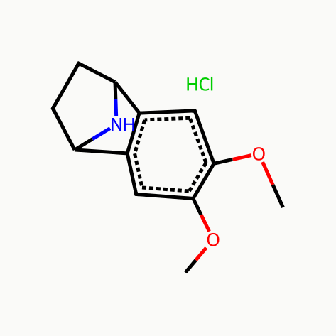 COc1cc2c(cc1OC)C1CCC2N1.Cl